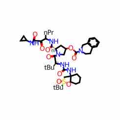 CCCC(NC(=O)[C@@H]1CC(OC(=O)N2CCc3ccccc3C2)CN1C(=O)[C@@H](NC(=O)NC1(CS(=O)(=O)C(C)(C)C)CCCCC1)C(C)(C)C)C(=O)C(=O)NC1CC1